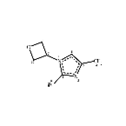 CC(C)c1nc(C(F)(F)F)cn1C1COC1